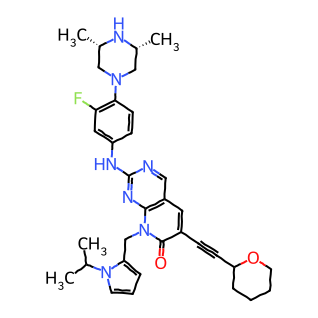 CC(C)n1cccc1Cn1c(=O)c(C#CC2CCCCO2)cc2cnc(Nc3ccc(N4C[C@@H](C)N[C@@H](C)C4)c(F)c3)nc21